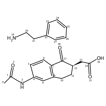 CC(=O)Nc1ccc2c(c1)CC[C@H](CC(=O)O)C2=O.NCCc1ccccc1